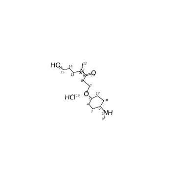 CNC1CCC(OCCC(=O)N(C)CCCO)CC1.Cl